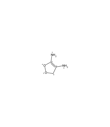 NC1=C(N)OOC1